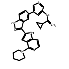 C=C(Nc1cncc(-c2ccc3[nH]nc(-c4cc5c(N6CCCCC6)nccc5[nH]4)c3c2)c1)C1CC1